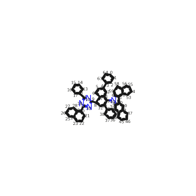 c1ccc(-c2ccc3c(-c4nc(-c5ccccc5)nc(-c5cccc6ccccc56)n4)cc(-c4ccccc4)c(-n4c5cc6ccccc6cc5c5c6ccccc6ccc54)c3c2)cc1